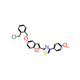 COc1ccc(-c2csc(-c3cc4cc(OCc5ccccc5CCl)ccc4o3)n2)cc1